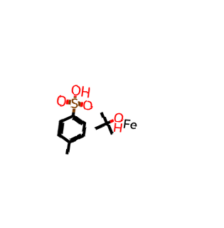 CC(C)(C)O.Cc1ccc(S(=O)(=O)O)cc1.[Fe]